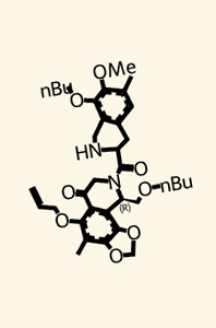 C=CCOc1c(C)c2c(c3c1C(=O)CN(C(=O)C1Cc4cc(C)c(OC)c(OCCCC)c4CN1)[C@H]3COCCCC)OCO2